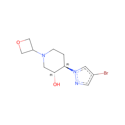 O[C@@H]1CN(C2COC2)CC[C@H]1n1cc(Br)cn1